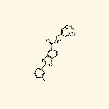 C/C=C(\C=N)CNC(=O)c1ccc2oc(-c3cccc(F)c3)nc2c1